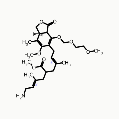 COCCOCOC1=C(C/C=C(\C)CC(C/C(C)=C/CN)C(=O)OC)C(OC)=C(C)[C@@H]2COC(=O)C12